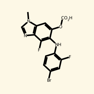 Cn1cnc2c(F)c(Nc3ccc(Br)cc3F)c(OC(=O)O)cc21